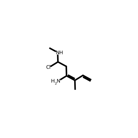 C=C/C(C)=C(/N)CC(Cl)NC